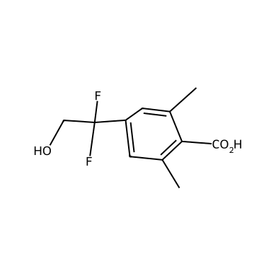 Cc1cc(C(F)(F)CO)cc(C)c1C(=O)O